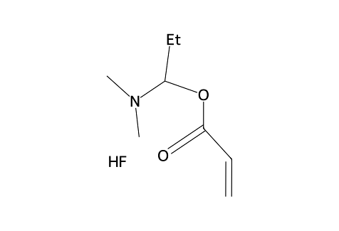 C=CC(=O)OC(CC)N(C)C.F